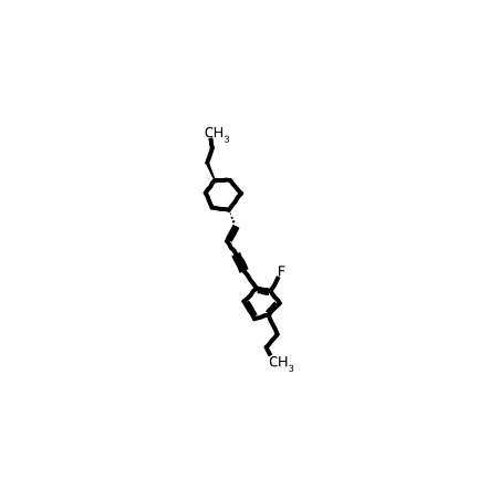 CCCc1ccc(C#CC=C[C@H]2CC[C@H](CCC)CC2)c(F)c1